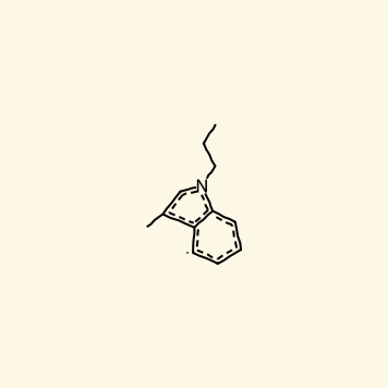 CCCn1cc(C)c2[c]cccc21